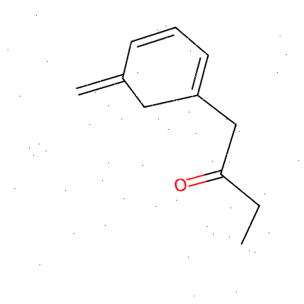 C=C1C=CC=C(CC(=O)CC)C1